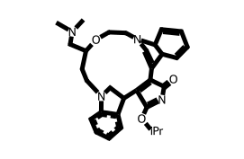 CC(C)OC1=NC(=O)C2=C1C1CN(CCC(CN(C)C)OCCN3C=C2C2C=CC=CC23)c2ccccc21